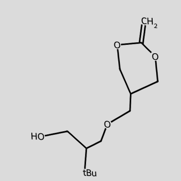 C=C1OCC(COCC(CO)C(C)(C)C)CO1